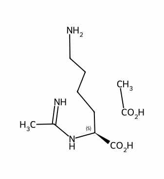 CC(=N)N[C@@H](CCCCN)C(=O)O.CC(=O)O